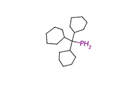 PC(C1CCCCC1)(C1CCCCC1)C1CCCCC1